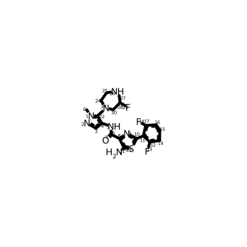 Cn1ncc(NC(=O)c2nc(-c3c(F)cccc3F)sc2N)c1N1CCNCC(F)C1